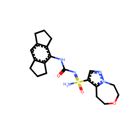 NS(=O)(=NC(=O)Nc1c2c(cc3c1CCC3)CCC2)c1cnn2c1CCOCC2